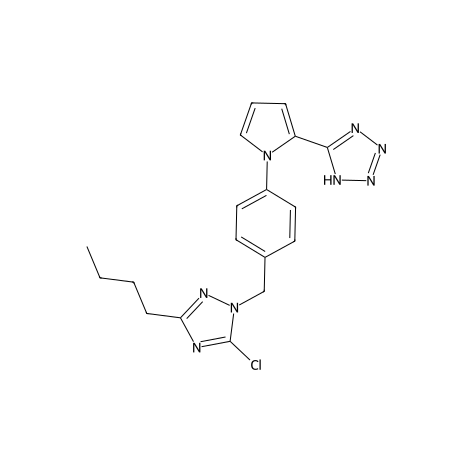 CCCCc1nc(Cl)n(Cc2ccc(-n3cccc3-c3nnn[nH]3)cc2)n1